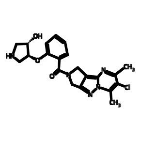 Cc1nc2c3c(nn2c(C)c1Cl)CN(C(=O)c1ccccc1O[C@H]1CNC[C@@H]1O)C3